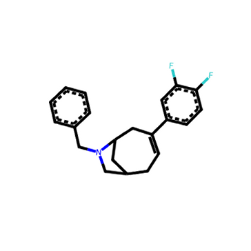 Fc1ccc(C2=CCC3CC(C2)N(Cc2ccccc2)C3)cc1F